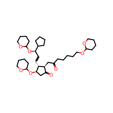 O=C(CCCCCOC1CCCCO1)C[C@H]1C(=O)C[C@@H](OC2CCCCO2)[C@@H]1C=C[C@@H](OC1CCCCO1)C1CCCC1